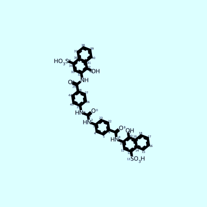 O=C(Nc1ccc(C(=O)Nc2cc(S(=O)(=O)O)c3ccccc3c2O)cc1)Nc1ccc(C(=O)Nc2cc(S(=O)(=O)O)c3ccccc3c2O)cc1